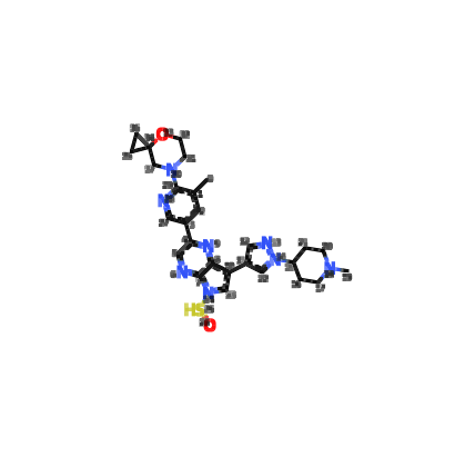 Cc1cc(-c2cnc3c(n2)c(-c2cnn(C4CCN(C)CC4)c2)cn3[SH]=O)cnc1N1CCOC2(CC2)C1